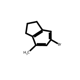 Cc1cc(Br)[c]c2c1CCC2